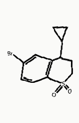 O=S1(=O)CCC(C2CC2)c2cc(Br)ccc21